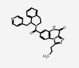 CCCc1nnc2c(=O)[nH]c3cc(C(=O)N4CCc5ccccc5C4Cc4ccncc4)ccc3n12